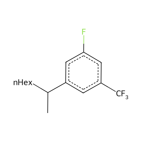 CCCCCCC(C)c1cc(F)cc(C(F)(F)F)c1